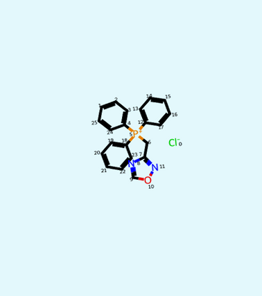 [Cl-].c1ccc([P+](Cc2ncon2)(c2ccccc2)c2ccccc2)cc1